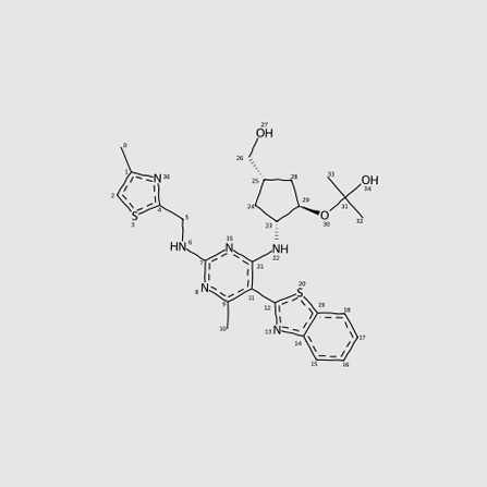 Cc1csc(CNc2nc(C)c(-c3nc4ccccc4s3)c(N[C@@H]3C[C@H](CO)C[C@H]3OC(C)(C)O)n2)n1